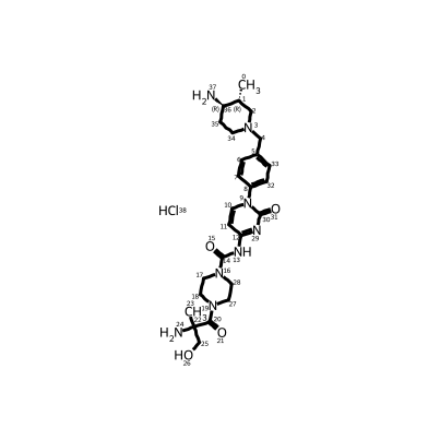 C[C@@H]1CN(Cc2ccc(-n3ccc(NC(=O)N4CCN(C(=O)C(C)(N)CO)CC4)nc3=O)cc2)CC[C@H]1N.Cl